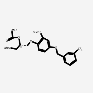 CCCCCc1cc(OCc2cccc(C(F)(F)F)c2)ccc1OC[C@H](COC)OC(=O)OC